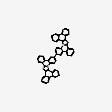 c1ccc2c(c1)c1ccccc1c1c2nc2c3ccccc3c3cc(-c4ccc5c(c4)c4ccccc4c4nc6c7ccccc7c7ccccc7c6n54)ccc3n21